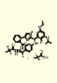 CCOc1cc(OC(C)C)c(F)c(C(Nc2ccc(C(=N)N)cc2)c2nc(-c3ccccc3C(N)=O)cn2C)c1.O=C(O)C(F)(F)F.O=C(O)C(F)(F)F